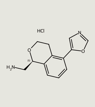 Cl.NC[C@H]1OCCc2c(-c3cnco3)cccc21